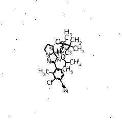 Cc1c(C2=NN3CC[C@H](O[Si](C)(C)C(C)(C)C)[C@H]3[C@@H]2OC(C)C)ccc(C#N)c1Cl